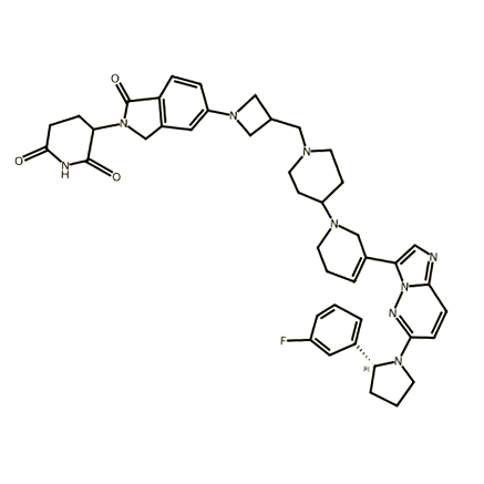 O=C1CCC(N2Cc3cc(N4CC(CN5CCC(N6CCC=C(c7cnc8ccc(N9CCC[C@@H]9c9cccc(F)c9)nn78)C6)CC5)C4)ccc3C2=O)C(=O)N1